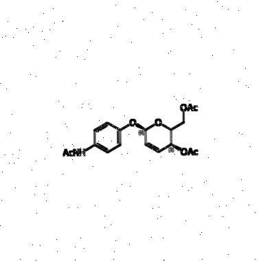 CC(=O)Nc1ccc(O[C@@H]2C=C[C@H](OC(C)=O)C(COC(C)=O)O2)cc1